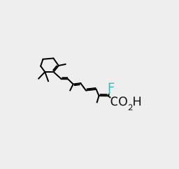 CC1=C(/C=C/C(C)=C/C=C/C(C)=C(\F)C(=O)O)C(C)(C)CCC1